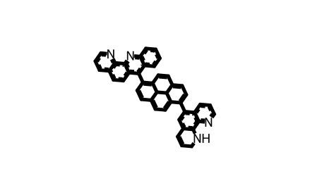 C1=Cc2cc(C3=CC=C4C=CC5=C(c6c7ccccc7nc7c6ccc6cccnc67)C=CC6=CC=C3C4C65)c3cccnc3c2NC1